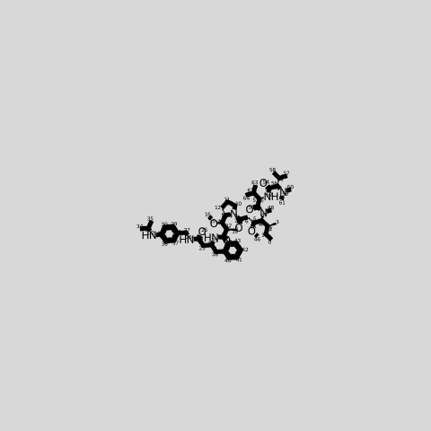 CC[C@H](C)[C@@H]([C@@H](CC(=O)N1CCC[C@H]1[C@H](OC)[C@@H](C)C(=O)NC(CC(=O)NCc1ccc(NC(C)C)cc1)Cc1ccccc1)OC)N(C)C(=O)[C@@H](NC(=O)[C@H](C(C)C)N(C)C)C(C)C